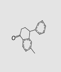 Cc1ccc2c(c1)C(c1ccccc1)CCC2=O